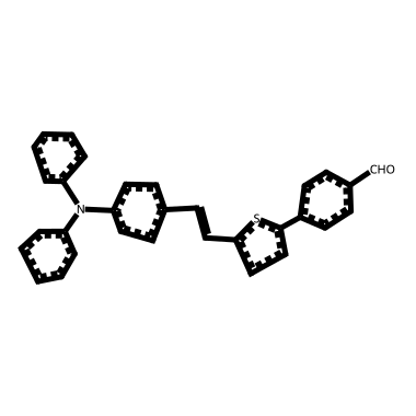 O=Cc1ccc(-c2ccc(C=Cc3ccc(N(c4ccccc4)c4ccccc4)cc3)s2)cc1